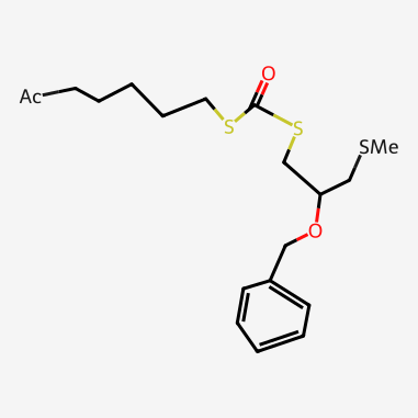 CSCC(CSC(=O)SCCCCCC(C)=O)OCc1ccccc1